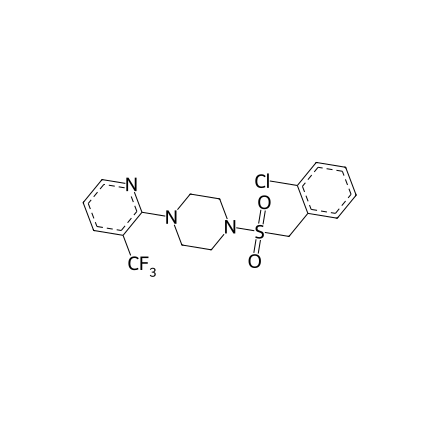 O=S(=O)(Cc1ccccc1Cl)N1CCN(c2ncccc2C(F)(F)F)CC1